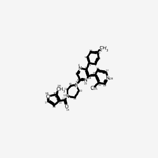 Cc1ccc(-c2ncc(N3CCN(C(=O)c4ccoc4C)CC3)nc2-c2ccncc2Cl)cc1